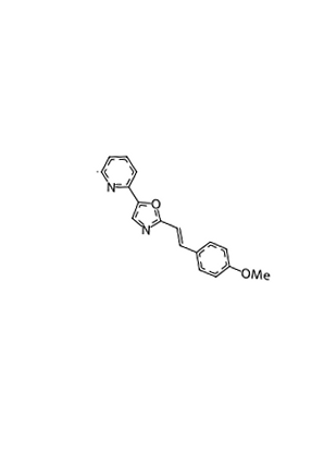 COc1ccc(C=Cc2ncc(-c3ccc[c]n3)o2)cc1